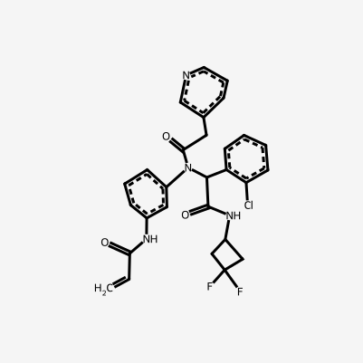 C=CC(=O)Nc1cccc(N(C(=O)Cc2cccnc2)C(C(=O)NC2CC(F)(F)C2)c2ccccc2Cl)c1